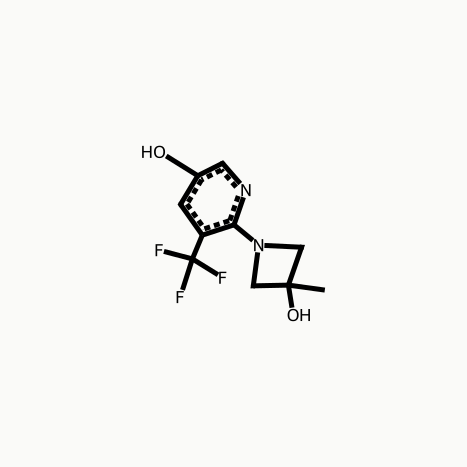 CC1(O)CN(c2ncc(O)cc2C(F)(F)F)C1